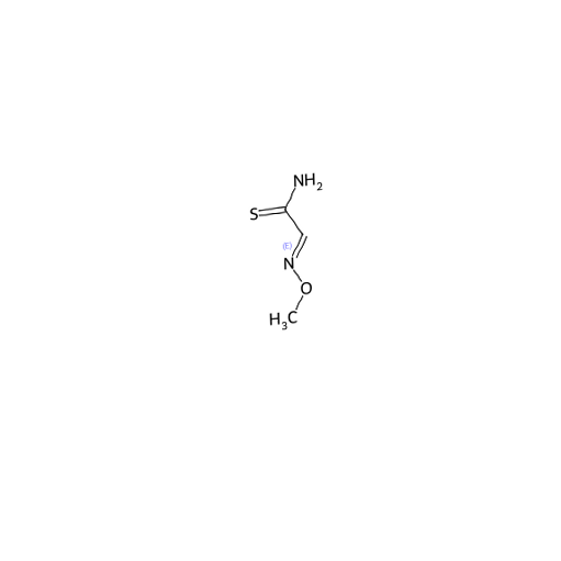 CO/N=C/C(N)=S